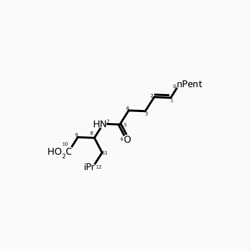 CCCCC/C=C/CCC(=O)NC(CC(=O)O)CC(C)C